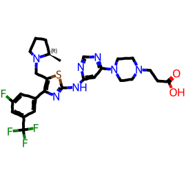 C[C@@H]1CCCN1Cc1sc(Nc2cc(N3CCN(CCC(=O)O)CC3)ncn2)nc1-c1cc(F)cc(C(F)(F)F)c1